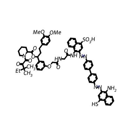 CCC(C)(C)C(=O)C(=O)N1CCCCC1C(=O)OC(CCc1ccc(OC)c(OC)c1)c1cccc(OCC(=O)NCC(=O)Nc2c(/N=N/c3ccc(-c4ccc(/N=N/c5cc(S)c6ccccc6c5N)cc4)cc3)cc(S(=O)(=O)O)c3ccccc23)c1